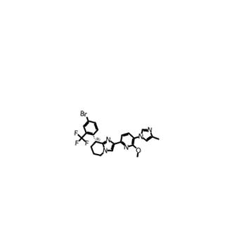 COc1nc(-c2cn3c(n2)[C@@H](c2ccc(Br)cc2C(F)(F)F)CCC3)ccc1-n1cnc(C)c1